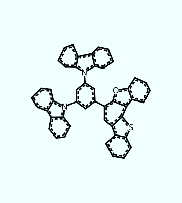 c1ccc2c(c1)oc1c(-c3cc(-n4c5ccccc5c5ccccc54)cc(-n4c5ccccc5c5ccccc54)c3)cc3c4ccccc4sc3c12